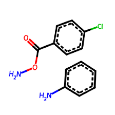 NOC(=O)c1ccc(Cl)cc1.Nc1ccccc1